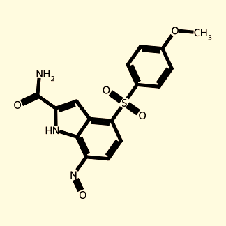 COc1ccc(S(=O)(=O)c2ccc(N=O)c3[nH]c(C(N)=O)cc23)cc1